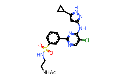 CC(=O)NCCNS(=O)(=O)c1cccc(-c2ncc(Cl)c(Nc3cc(C4CC4)[nH]n3)n2)c1